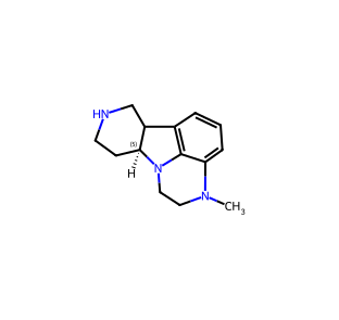 CN1CCN2c3c(cccc31)C1CNCC[C@@H]12